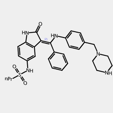 CCCS(=O)(=O)Nc1ccc2c(c1)/C(=C(/Nc1ccc(CN3CCNCC3)cc1)c1ccccc1)C(=O)N2